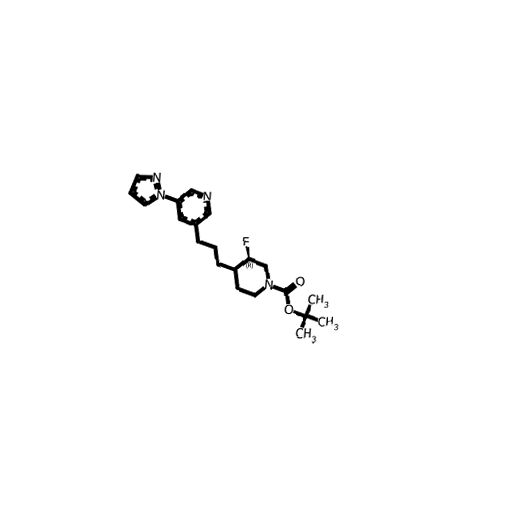 CC(C)(C)OC(=O)N1CCC(CCCc2cncc(-n3cccn3)c2)[C@@H](F)C1